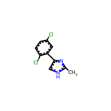 Cc1nc(-c2cc(Cl)ccc2Cl)c[nH]1